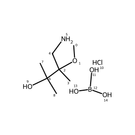 COC(C)(CN)C(C)(C)O.Cl.OB(O)O